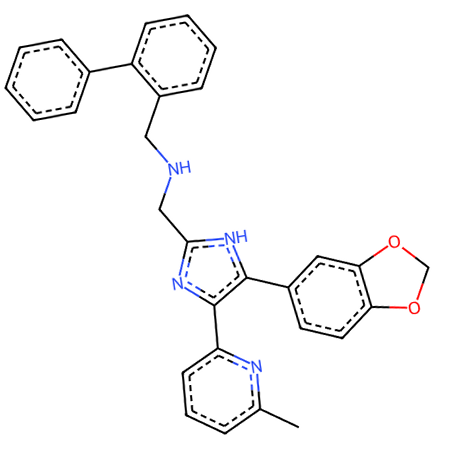 Cc1cccc(-c2nc(CNCc3ccccc3-c3ccccc3)[nH]c2-c2ccc3c(c2)OCO3)n1